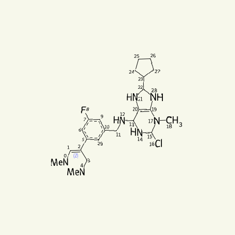 CN/C=C(\CNC)c1cc(F)cc(CNC2NC(Cl)N(C)C3=C2NC(C2CCCC2)N3)c1